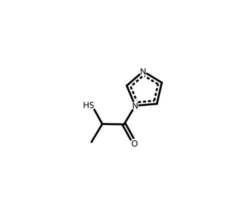 CC(S)C(=O)n1ccnc1